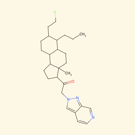 CCCC1C(CCF)CCC2C1CCC1(C)C(C(=O)Cn3cc4ccncc4n3)CCC21